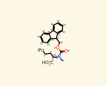 CC(C)CC[C@@H](C(=O)O)N(C)C(=O)OCC1c2ccccc2-c2ccccc21